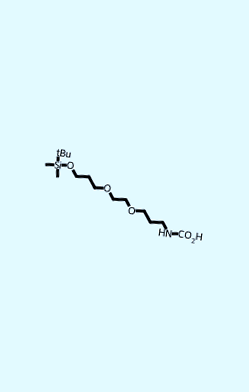 CC(C)(C)[Si](C)(C)OCCCOCCOCCCNC(=O)O